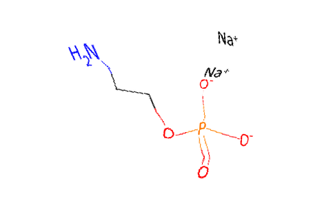 NCCOP(=O)([O-])[O-].[Na+].[Na+]